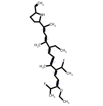 C=CC1CCC(/C(C)=C/C=C(C)/C(=C/C=C(C)/C(=C/C=C(/OCC)C(C)F)C(C)F)CC)N1